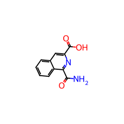 NC(=O)c1nc(C(=O)O)cc2ccccc12